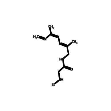 C=N/C(C)=C\C=C(/C)CNC(=O)CNCC